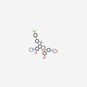 COc1ccc(C2(c3ccc(N4CCOCC4)cc3)C=Cc3c4c(c5cc(N6CCCCC6)c(OC)cc5c3O2)-c2ccc(-c3ccc(C(F)(F)F)cc3)cc2C4(C)C)cc1